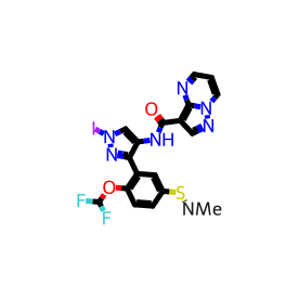 CNSc1ccc(OC(F)F)c(-c2nn(I)cc2NC(=O)c2cnn3cccnc23)c1